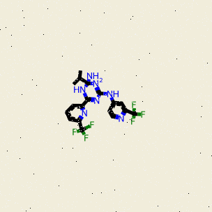 CC(C)C1(N)N=C(Nc2ccnc(C(F)(F)F)c2)N=C(c2cccc(C(F)(F)F)n2)N1